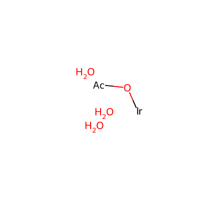 CC(=O)[O][Ir].O.O.O